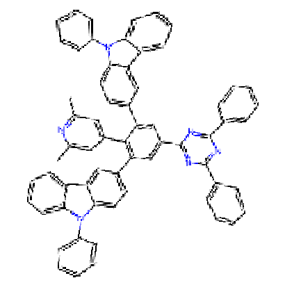 Cc1cc(-c2c(-c3ccc4c(c3)c3ccccc3n4-c3ccccc3)cc(-c3nc(-c4ccccc4)nc(-c4ccccc4)n3)cc2-c2ccc3c(c2)c2ccccc2n3-c2ccccc2)cc(C)n1